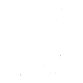 [CH2]CCCCCc1ccc(-c2ccc(SC)cc2)c(SC)c1CCCCC